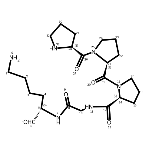 NCCCC[C@@H]([C]=O)NC(=O)CNC(=O)[C@@H]1CCCN1C(=O)[C@@H]1CCCN1C(=O)[C@@H]1CCCN1